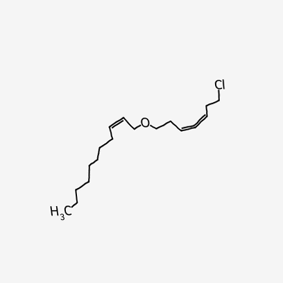 CCCCCCCC/C=C\COCCC=C=CCCCl